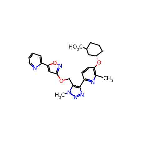 Cc1nc(-c2nnn(C)c2COc2cc(-c3ccccn3)on2)ccc1O[C@H]1CCC[C@H](C(=O)O)C1